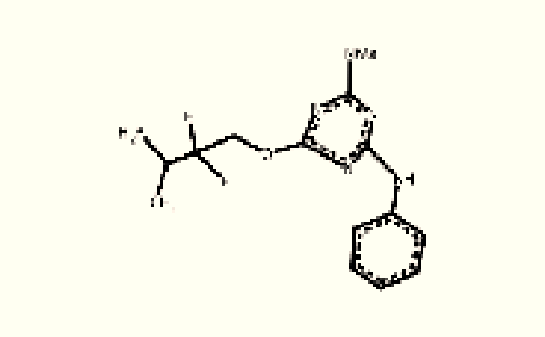 CNc1nc(Nc2ccccc2)nc(OCC(F)(F)C(C)P)n1